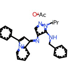 CC(=O)[O-].CC(C)n1ncc(/N=C2\C=C(c3ccccc3)[n+]3ccccc32)c1NCc1ccccc1